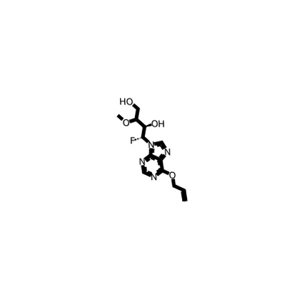 C=CCOc1ncnc2c1ncn2[C@H](F)[C@H](O)C(CO)OC